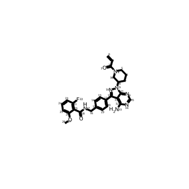 C=CC(=O)N1CCCC(n2nc(-c3ccc(CNC(=O)c4c(F)cccc4OC)cc3)c3c(N)ncnc32)C1